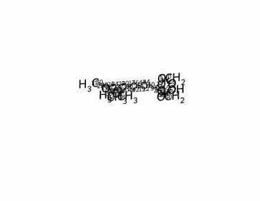 C=C(C=O)C(=O)OCC(CCC1CCC(C2CCC(c3ccc(-c4ccc(OCCCC)c(CC)c4)c(C(C)C)c3)CC2)CC1)COC(=O)C(=C)CO